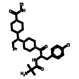 CCNC(=O)N1CCC(N(CC(C)C)N2CCN(C(=O)C(Cc3ccc(Cl)cc3)NC(=O)C(C)(C)N)CC2)CC1